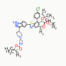 CCOC(=O)[C@@H](OC(C)(C)C)c1c(C)cc2nc(-c3ccc4[nH]nc(C5CCN(C6CCN(C(=O)OC(C)(C)C)C6)CC5)c4c3)sc2c1-c1ccc(Cl)cc1